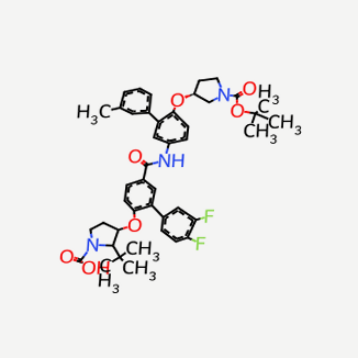 Cc1cccc(-c2cc(NC(=O)c3ccc(OC4CCN(C(=O)O)C4C(C)(C)C)c(-c4ccc(F)c(F)c4)c3)ccc2O[C@H]2CCN(C(=O)OC(C)(C)C)C2)c1